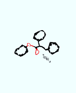 O=C(Oc1ccccc1)C(=Cc1ccccc1)c1ccccc1.[SnH4]